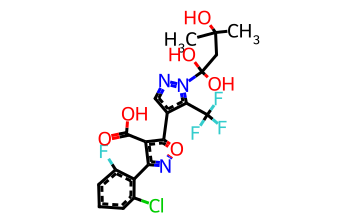 CC(C)(O)CC(O)(O)n1ncc(-c2onc(-c3c(F)cccc3Cl)c2C(=O)O)c1C(F)(F)F